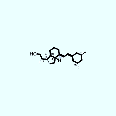 C[C@@H]1CC(=C/C=C2\CCC[C@]3(C)[C@@H]([C@H](C)CO)CC[C@@H]23)C[C@@H](C)C1